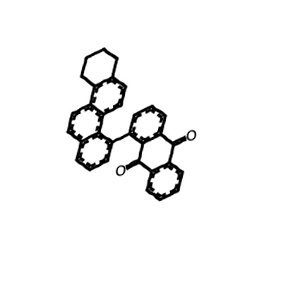 O=C1c2ccccc2C(=O)c2c1cccc2-c1cccc2ccc3c4c(ccc3c12)CCCC4